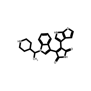 CC(C1CCNCC1)n1cc(C2=C(c3c[nH]c4sccc34)C(=O)NC2=O)c2ccccc21